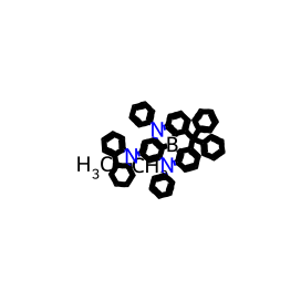 CC12CCCCC1(C)N(c1cc3c4c(c1)N(c1ccccc1)c1cccc5c1B4c1c(cccc1C5(c1ccccc1)c1ccccc1)N3c1ccccc1)c1ccccc12